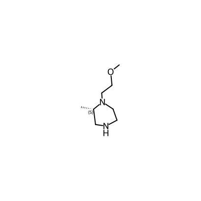 COCCN1CCNC[C@@H]1C